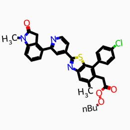 CCCCOOC(=O)Cc1c(C)cc2nc(-c3ccnc(-c4cccc5c4CC(=O)N5C)c3)sc2c1-c1ccc(Cl)cc1